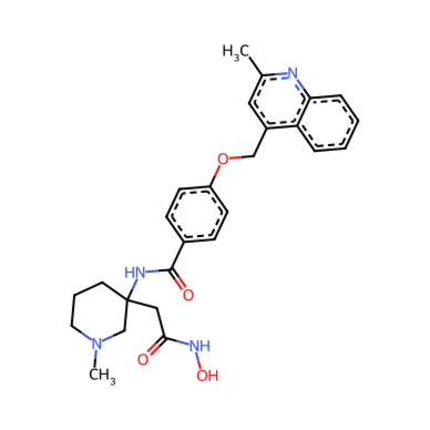 Cc1cc(COc2ccc(C(=O)NC3(CC(=O)NO)CCCN(C)C3)cc2)c2ccccc2n1